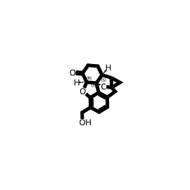 O=C1CC[C@H]2C3CC34Cc3ccc(CO)c5c3[C@@]2(C4)[C@H]1O5